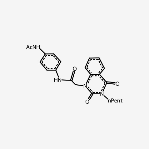 CCCCCn1c(=O)c2ccccc2n(CC(=O)Nc2ccc(NC(C)=O)cc2)c1=O